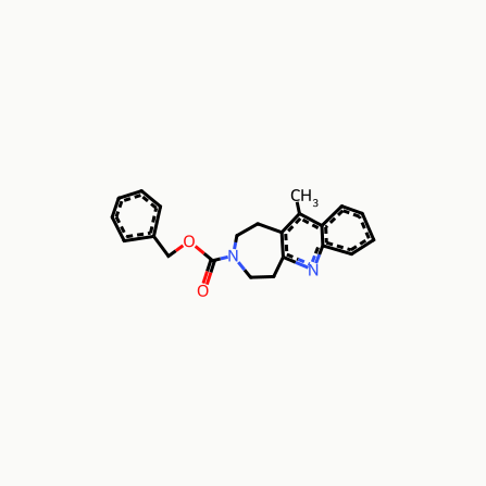 Cc1c2c(nc3ccccc13)CCN(C(=O)OCc1ccccc1)CC2